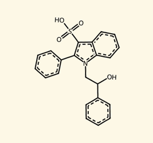 O=S(=O)(O)c1c(-c2ccccc2)n(CC(O)c2ccccc2)c2ccccc12